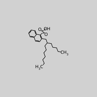 CCCCCCCC(CCCCC)Cc1ccc2ccccc2c1S(=O)(=O)O